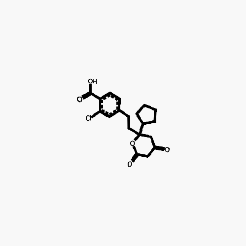 O=C1CC(=O)OC(CCc2ccc(C(=O)O)c(Cl)c2)(C2CCCC2)C1